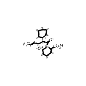 C/C=C/[C@@H](O)[C@@H](C(=O)N1CCCCC1C(=O)O)C1CCCCC1